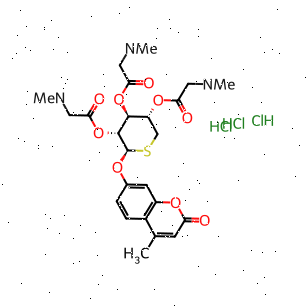 CNCC(=O)O[C@@H]1[C@@H](OC(=O)CNC)[C@H](OC(=O)CNC)CS[C@H]1Oc1ccc2c(C)cc(=O)oc2c1.Cl.Cl.Cl